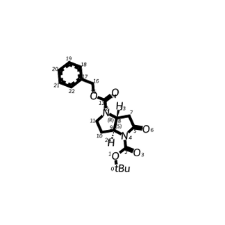 CC(C)(C)OC(=O)N1C(=O)C[C@@H]2[C@@H]1CCN2C(=O)OCc1ccccc1